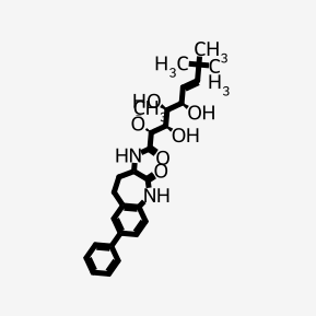 CO[C@@H](C(=O)NC1CCc2cc(-c3ccccc3)ccc2NC1=O)[C@H](O)[C@@H](O)[C@H](O)/C=C/C(C)(C)C